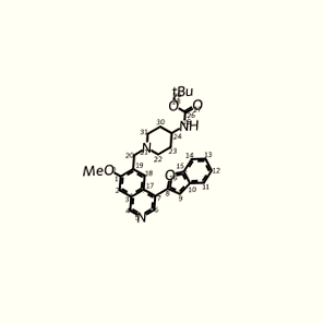 COc1cc2cncc(-c3cc4ccccc4o3)c2cc1CN1CCC(NC(=O)OC(C)(C)C)CC1